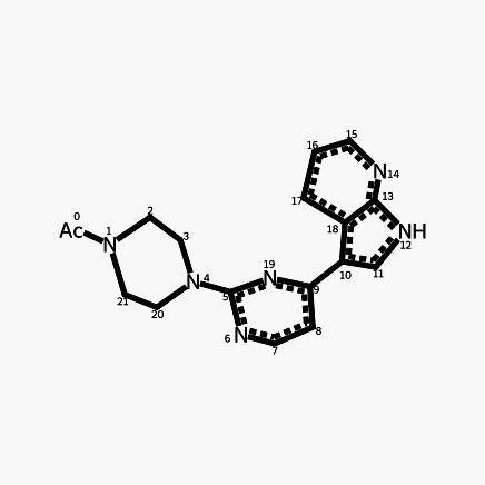 CC(=O)N1CCN(c2nccc(-c3c[nH]c4ncccc34)n2)CC1